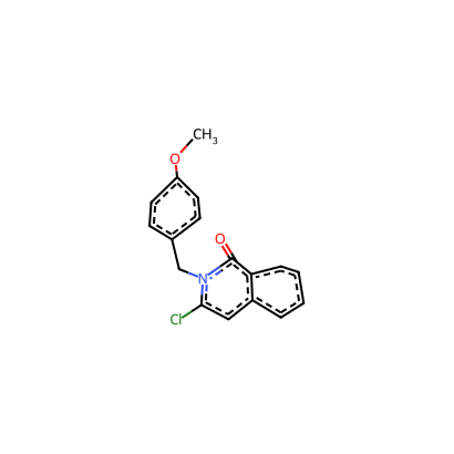 COc1ccc(Cn2c(Cl)cc3ccccc3c2=O)cc1